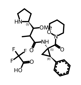 COC(C(C)C(=O)N[C@@]1(C(=O)N2CCCCO2)C[C@@H]1c1ccccc1)[C@@H]1CCCN1.O=C(O)C(F)(F)F